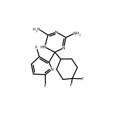 NC1=NC(c2nc(F)ccc2F)(C2CCC(F)(F)CC2)NC(N)=N1